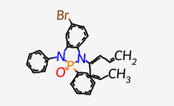 C=C/C=C(\C=C/C)N1c2ccc(Br)cc2N(c2ccccc2)P1(=O)c1ccccc1